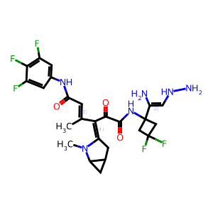 CC(=C\C(=O)Nc1cc(F)c(F)c(F)c1)/C(C(=O)C(=O)NC1(/C(N)=C/NN)CC(F)(F)C1)=C1/CC2CC2N1C